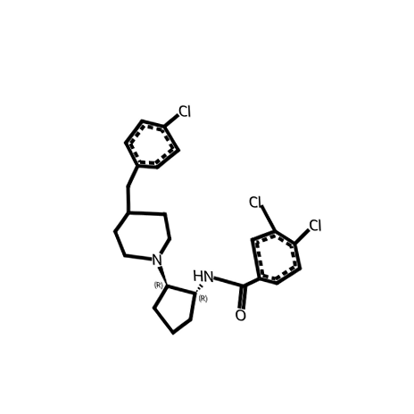 O=C(N[C@@H]1CCC[C@H]1N1CCC(Cc2ccc(Cl)cc2)CC1)c1ccc(Cl)c(Cl)c1